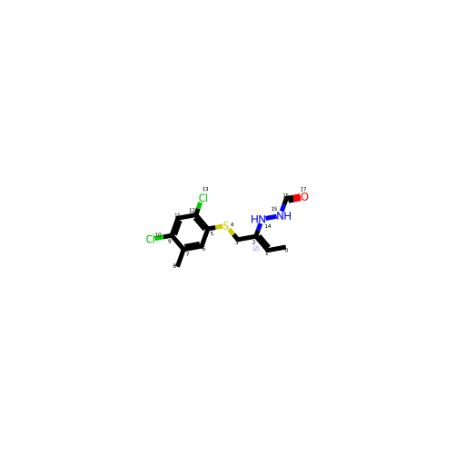 C/C=C(/CSc1cc(C)c(Cl)cc1Cl)NNC=O